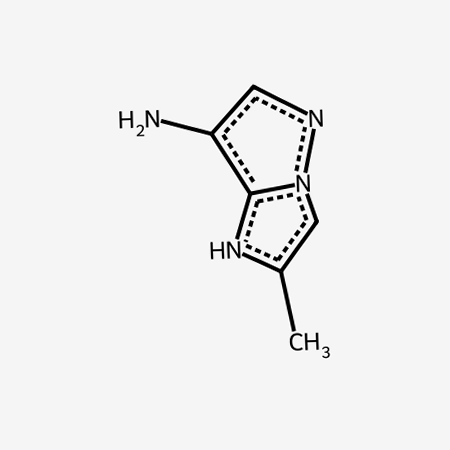 Cc1cn2ncc(N)c2[nH]1